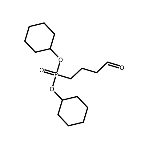 O=CCCCP(=O)(OC1CCCCC1)OC1CCCCC1